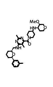 CO[C@H]1COCC[C@H]1NC1CCN(C(=O)c2nc(C)nc(NC[C@@H]3CCC[C@H](c4cccc(C)c4)O3)c2C)CC1